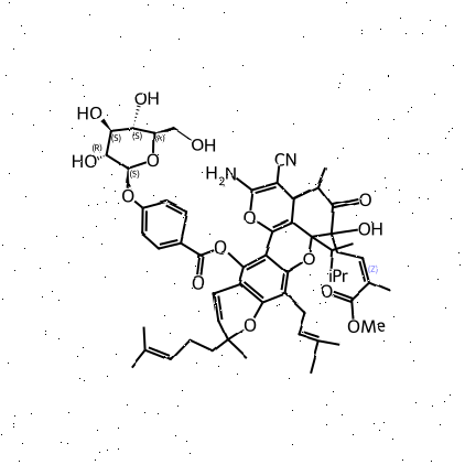 COC(=O)/C(C)=C\CC1(O)C(=O)C(C)C2C(C#N)=C(N)OC3=C2C1(C(C)C(C)C)Oc1c(CC=C(C)C)c2c(c(OC(=O)c4ccc(O[C@@H]5O[C@H](CO)[C@@H](O)[C@H](O)[C@H]5O)cc4)c13)C=CC(C)(CCC=C(C)C)O2